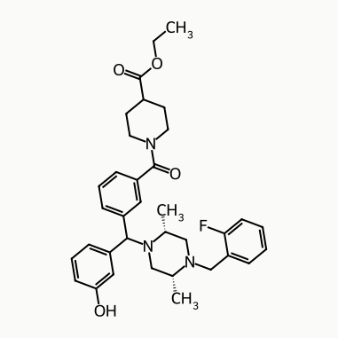 CCOC(=O)C1CCN(C(=O)c2cccc(C(c3cccc(O)c3)N3C[C@@H](C)N(Cc4ccccc4F)C[C@H]3C)c2)CC1